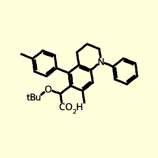 Cc1ccc(-c2c3c(cc(C)c2C(OC(C)(C)C)C(=O)O)N(c2ccccc2)CCC3)cc1